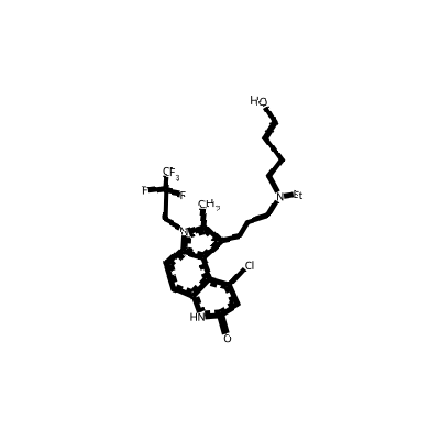 CCN(CCCCO)CCCc1c(C)n(CC(F)(F)C(F)(F)F)c2ccc3[nH]c(=O)cc(Cl)c3c12